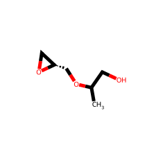 CC(CO)OC[C@H]1CO1